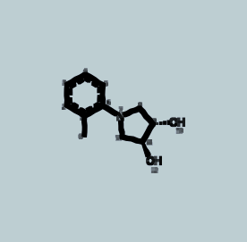 Cc1ccccc1N1C[C@H](O)[C@@H](O)C1